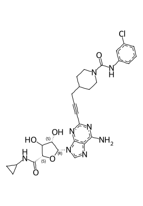 Nc1nc(C#CCC2CCN(C(=O)Nc3cccc(Cl)c3)CC2)nc2c1ncn2[C@@H]1O[C@H](C(=O)NC2CC2)C(O)[C@@H]1O